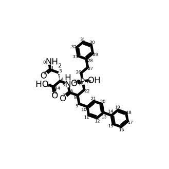 NC(=O)C[C@H](NC(=O)C(Cc1ccc(-c2ccccc2)cc1)CP(=O)(O)CCc1ccccc1)C(=O)O